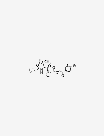 COC(=O)N[C@H](C(=O)N1CCC[C@H]1C(=O)OCC(=O)c1ccc(Br)nc1)C(C)C